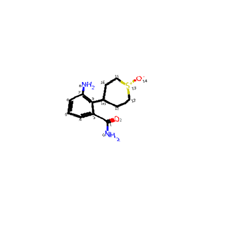 NC(=O)c1cccc(N)c1C1CC[S+]([O-])CC1